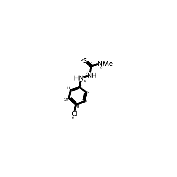 CNC(=S)NNc1ccc(Cl)cc1